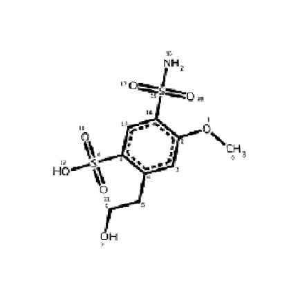 COc1cc(CCO)c(S(=O)(=O)O)cc1S(N)(=O)=O